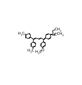 CC[N+](CC)=C1C=CC(=C(C=CC=C(c2ccc(C)cc2)c2ccc(C)cc2)c2ccc(OC)cc2)C=C1